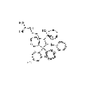 Cl.N=C(N)NCCC[C@@H](C(=O)O)N(C(c1ccccc1)(c1ccccc1)c1ccccc1)C(c1ccccc1)(c1ccccc1)c1ccccc1